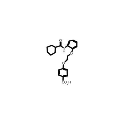 O=C(O)c1ccc(OCCOc2ccccc2NC(=O)C2CCCCC2)cc1